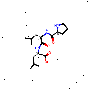 CC(C)C[C@H](NC(=O)[C@H](CC(C)C)NC(=O)[C@@H]1CCCN1)C(=O)O